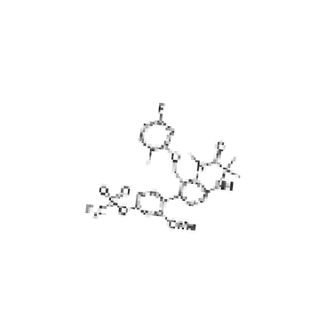 COc1cc(OS(=O)(=O)C(F)(F)F)ccc1-c1ccc2c(c1COc1cc(F)ccc1C)N(C)C(=O)C(C)(C)N2